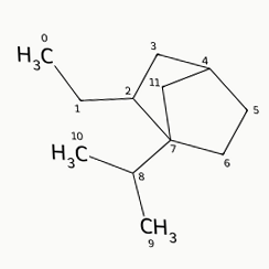 CCC1CC2CCC1(C(C)C)C2